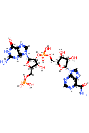 NC(=O)c1ncnc2c1ncn2[C@@H]1O[C@H](COP(=O)(O)O[C@@H]2[C@H](O)[C@@H](CO[PH](=O)O)O[C@H]2n2cnc3c(=O)[nH]c(N)nc32)[C@@H](O)[C@H]1O